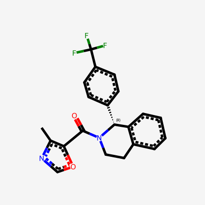 Cc1ncoc1C(=O)N1CCc2ccccc2[C@H]1c1ccc(C(F)(F)F)cc1